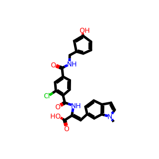 Cn1ccc2ccc(/C=C(\NC(=O)c3ccc(C(=O)NCc4cccc(O)c4)cc3Cl)C(=O)O)cc21